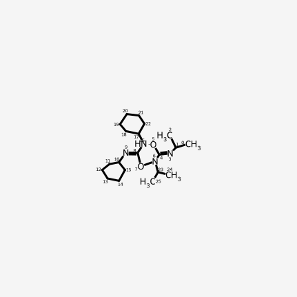 CC(C)N=C([O])N(OC(=NC1CCCCC1)NC1CCCCC1)C(C)C